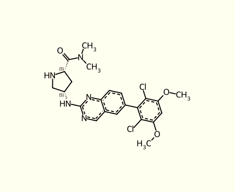 COc1cc(OC)c(Cl)c(-c2ccc3nc(N[C@@H]4CN[C@H](C(=O)N(C)C)C4)ncc3c2)c1Cl